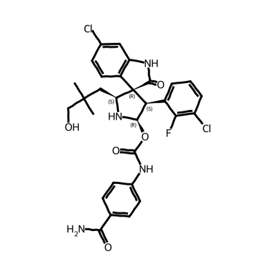 CC(C)(CO)C[C@@H]1N[C@H](OC(=O)Nc2ccc(C(N)=O)cc2)[C@H](c2cccc(Cl)c2F)[C@]12C(=O)Nc1cc(Cl)ccc12